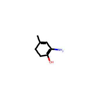 CC1=CC(N)=C(O)CC1